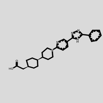 O=C(O)C[C@H]1CC[C@@H](C2CCN(c3ccc(-c4nnc(-c5ccccc5)[nH]4)cn3)CC2)CC1